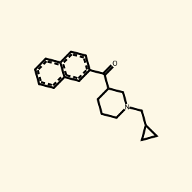 O=C(c1ccc2ccccc2c1)C1CCCN(CC2CC2)C1